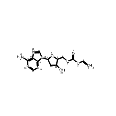 C=COC(=O)OCC1OC(n2cnc3c(N)ncnc32)CC1O